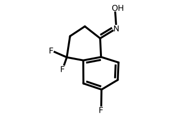 ON=C1CCC(F)(F)c2cc(F)ccc21